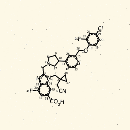 N#CCC1(Cn2c(CN3CCC(c4ccnc(COc5ccc(Cl)cc5F)c4)C3)nc3c(F)cc(C(=O)O)cc32)CC1